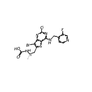 C[C@@H](Cc1sc2c(NCc3ccncc3F)nc(Cl)nc2c1Br)NC(=O)O